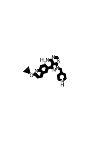 Nc1ncnc2c1c(-c1ccc3nc(OC4CC4)ccc3c1)nn2CC1CCNCC1